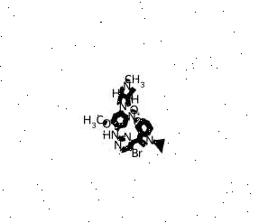 COc1cc(N2C[C@H]3CN(C)C[C@H]3C2)c([N+](=O)[O-])cc1Nc1ncc(Br)c(-c2cn(C3CC3)c3ccccc23)n1